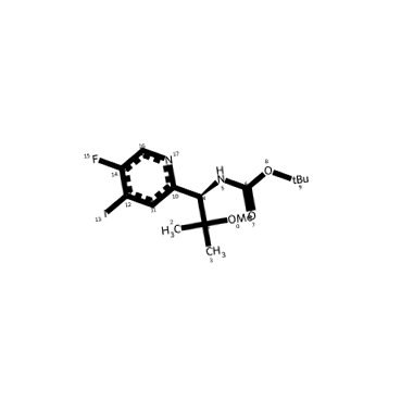 COC(C)(C)[C@H](NC(=O)OC(C)(C)C)c1cc(I)c(F)cn1